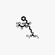 NC(N)=NCCCCNC(=O)C(Cc1ccccc1)NC(=O)C1OC1C(=O)O